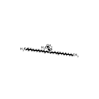 CCCCCCCCCCCCCCCCCCN(CCCCCCCCCCCCCCCCCC)C(=O)COC(C)C